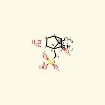 CC1(C)C2CC[C@@]1(CS(=O)(=O)O)C(=O)C2.O